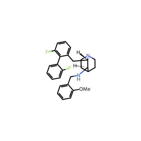 COc1ccccc1CN[C@@H]1C2CCN(CC2)[C@H]1Cc1cccc(F)c1-c1ccccc1F